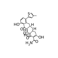 Cc1csc(-c2ccc(O)c3c2C[C@H]2C[C@H]4CC(O)=C(C(N)=O)C(=O)[C@@]4(O)C(O)=C2C3=O)c1